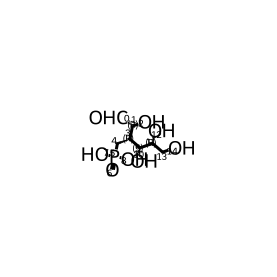 O=C[C@H](O)[C@H](CP(=O)(O)O)[C@H](O)[C@H](O)CO